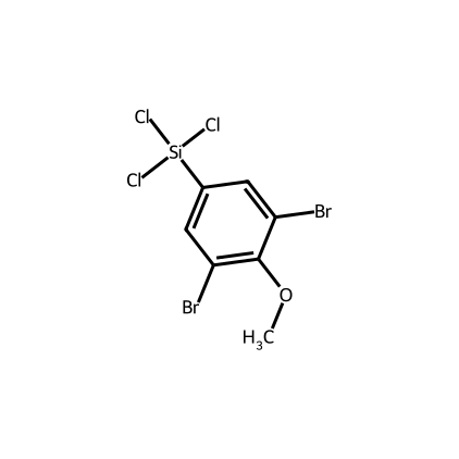 COc1c(Br)cc([Si](Cl)(Cl)Cl)cc1Br